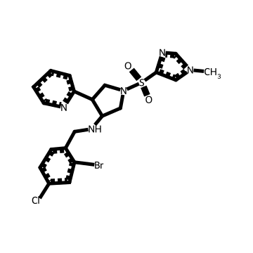 Cn1cnc(S(=O)(=O)N2CC(NCc3ccc(Cl)cc3Br)C(c3ccccn3)C2)c1